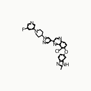 Cc1nc2ccc(Oc3ccc4ncc(-c5cnn(C6CCN(c7cncc(F)c7)CC6)c5)nc4c3Cl)cc2[nH]1